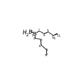 BB(CCCCC)CCCCC